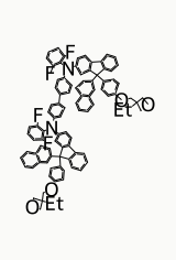 CCC1(COc2ccc(C3(c4ccc5ccccc5c4)c4ccccc4-c4ccc(N(c5ccc(-c6ccc(N(c7ccc8c(c7)C(c7ccc(OCC9(CC)COC9)cc7)(c7ccc9ccccc9c7)c7ccccc7-8)c7c(F)cccc7F)cc6)cc5)c5c(F)cccc5F)cc43)cc2)COC1